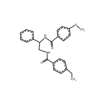 CCc1ccc(C(=O)NCC(NC(=O)c2ccc(OC)cc2)c2ccccc2)cc1